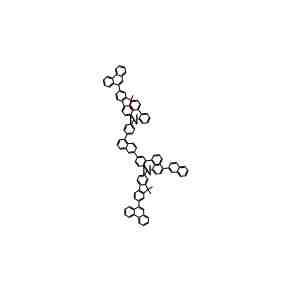 CC1(C)c2cc(-c3cc4ccccc4c4ccccc34)ccc2-c2ccc(N(c3ccc(-c4cccc5cc(-c6ccc(N(c7ccc(-c8ccc9ccccc9c8)cc7)c7ccc8c(c7)C(C)(C)c7cc(-c9cc%10ccccc%10c%10ccccc9%10)ccc7-8)c(-c7ccccc7)c6)ccc45)cc3)c3ccccc3-c3ccccc3)cc21